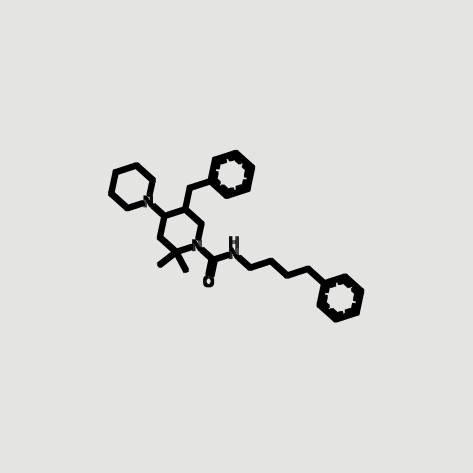 CC1(C)CC(N2CCCCC2)C(Cc2ccccc2)CN1C(=O)NCCCCc1ccccc1